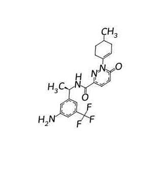 CC1CC=C(n2nc(C(=O)N[C@H](C)c3cc(N)cc(C(F)(F)F)c3)ccc2=O)CC1